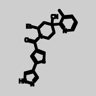 CCC1CC(C#N)(c2ncccc2C)CCN1C(=O)c1csc(-c2cn[nH]c2)c1